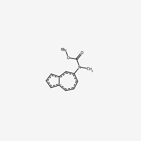 CN(C(=O)OC(C)(C)C)c1cccc2cccc-2c1